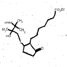 CCCCCCC(C)(C)C(C)(O)CSC1CCC(=O)C1CCCCCCC(=O)OCC